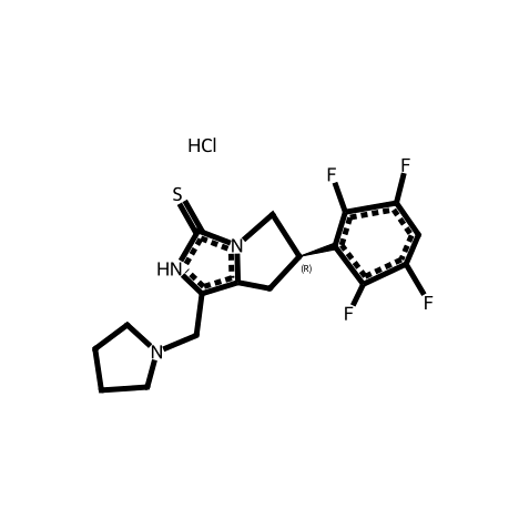 Cl.Fc1cc(F)c(F)c([C@H]2Cc3c(CN4CCCC4)[nH]c(=S)n3C2)c1F